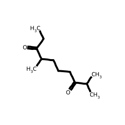 CCC(=O)C(C)CCCC(=O)C(C)C